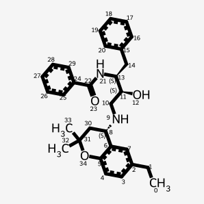 CCc1ccc2c(c1)[C@@H](NC[C@H](O)[C@H](Cc1ccccc1)NC(=O)c1ccccc1)CC(C)(C)O2